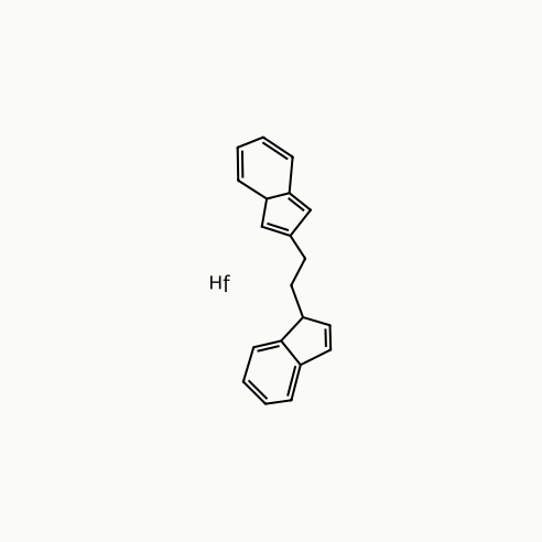 C1=CC2=CC(CCC3C=Cc4ccccc43)=CC2C=C1.[Hf]